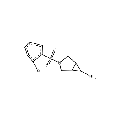 NC1C2CN(S(=O)(=O)c3ccccc3Br)CC12